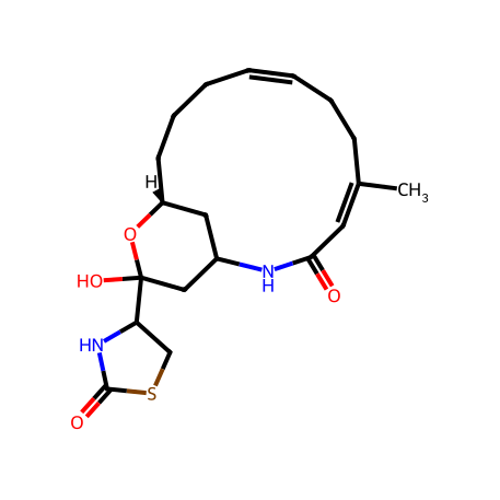 C/C1=C/C(=O)NC2C[C@@H](CCC/C=C\CC1)OC(O)(C1CSC(=O)N1)C2